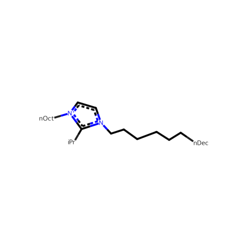 CCCCCCCCCCCCCCCCn1cc[n+](CCCCCCCC)c1C(C)C